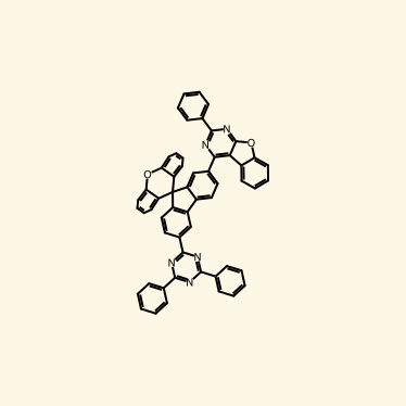 c1ccc(-c2nc(-c3ccccc3)nc(-c3ccc4c(c3)-c3ccc(-c5nc(-c6ccccc6)nc6oc7ccccc7c56)cc3C43c4ccccc4Oc4ccccc43)n2)cc1